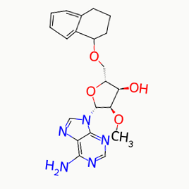 CO[C@@H]1[C@H](O)[C@@H](COC2CCCc3ccccc32)O[C@H]1n1cnc2c(N)ncnc21